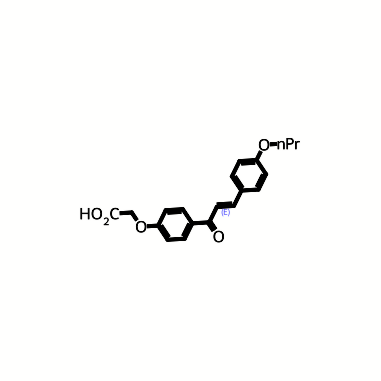 CCCOc1ccc(/C=C/C(=O)c2ccc(OCC(=O)O)cc2)cc1